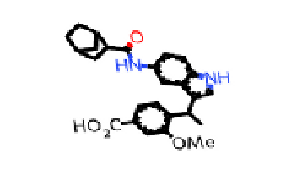 COc1cc(C(=O)O)ccc1C(C)c1c[nH]c2ccc(NC(=O)C3CC4CCC3C4)cc12